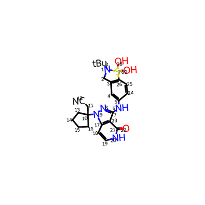 CC(C)(C)N1Cc2cc(Nc3nn(C4(CC#N)CCCC4)c4cc[nH]c(=O)c34)ccc2S1(O)O